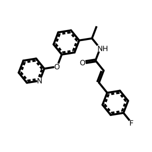 CC(NC(=O)C=Cc1ccc(F)cc1)c1cccc(Oc2ccccn2)c1